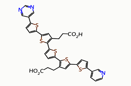 O=C(O)CCc1cc(-c2ccc(-c3cccnc3)s2)sc1-c1ccc(-c2sc(-c3ccc(-c4cncnc4)s3)cc2CCC(=O)O)s1